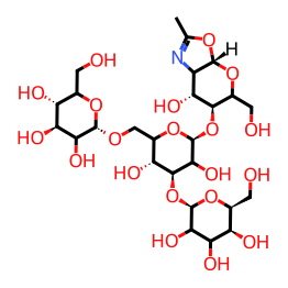 CC1=NC2[C@H](O1)OC(CO)[C@@H](O[C@@H]1OC(CO[C@H]3OC(CO)[C@@H](O)[C@H](O)C3O)[C@@H](O)[C@H](O[C@H]3O[C@@H](CO)[C@@H](O)C(O)C3O)C1O)[C@@H]2O